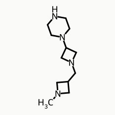 CN1CC(CN2CC(N3CCNCC3)C2)C1